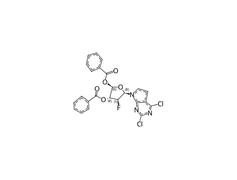 O=C(O[C@H]1O[C@@H](n2ccc3c(Cl)nc(Cl)nc32)[C@@H](F)[C@@H]1OC(=O)c1ccccc1)c1ccccc1